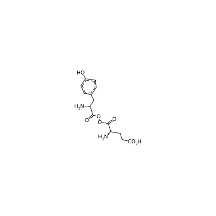 NC(Cc1ccc(O)cc1)C(=O)OOC(=O)[C@H](N)CCC(=O)O